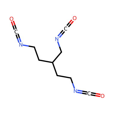 O=C=NCCC(CCN=C=O)CN=C=O